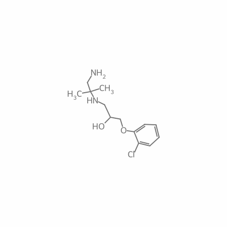 CC(C)(CN)NCC(O)COc1ccccc1Cl